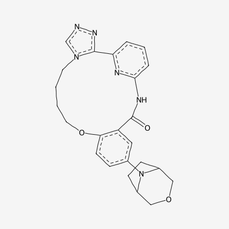 O=C1Nc2cccc(n2)-c2nncn2CCCCOc2ccc(N3C4CCC3COC4)cc21